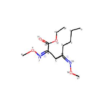 CCCC/C(C/C(=N/OC)C(=O)OCC)=N/OC